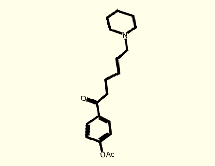 CC(=O)Oc1ccc(C(=O)CCCCCN2CC[CH]CC2)cc1